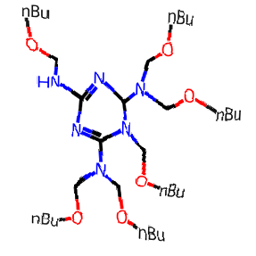 CCCCOCNC1=NC(N(COCCCC)COCCCC)N(COCCCC)C(N(COCCCC)COCCCC)=N1